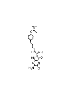 CN(C)C(=S)Oc1ccc(CCCCNC(=N)n2[nH]c3nc(N)c(Cl)nc3c2=O)cc1